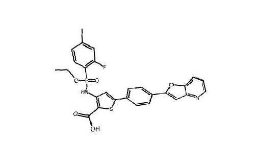 CCOP(=O)(Nc1cc(-c2ccc(-c3cc4ncccc4o3)cc2)sc1C(=O)O)c1ccc(C)cc1F